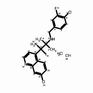 CC(C)(NCc1ccc(Cl)c(F)c1)C(N)(I)c1ccnc2cc(Cl)ccc12.Cl.Cl